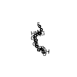 O=C1CCC(n2c(=O)oc3c(C4CCN(C(=O)CN5CCC(C(=O)N6CCC(Nc7ncc(Cl)c(-c8cccc(-c9ccc(F)cc9)c8)n7)CC6)CC5)CC4)cccc32)C(=O)N1